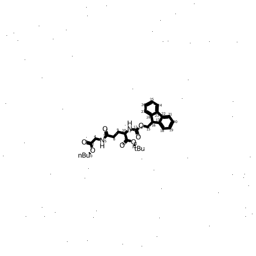 CCCCOC(=O)CNC(=O)CCC(NC(=O)OCC1c2ccccc2-c2ccccc21)C(=O)OC(C)(C)C